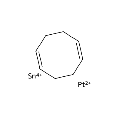 C1=CCCC=CCC1.[Pt+2].[Sn+4]